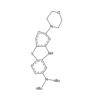 CCCCN(CCCC)c1ccc2c(c1)Nc1cc(N3CCOCC3)ccc1S2